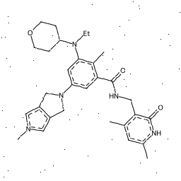 CCN(c1cc(N2Cc3cn(C)cc3C2)cc(C(=O)NCc2c(C)cc(C)[nH]c2=O)c1C)C1CCOCC1